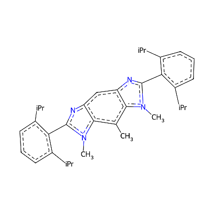 Cc1c2c(cc3nc(-c4c(C(C)C)cccc4C(C)C)n(C)c13)nc(-c1c(C(C)C)cccc1C(C)C)n2C